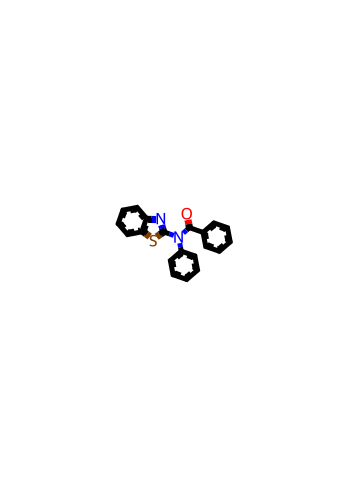 O=C(c1ccccc1)N(c1ccccc1)c1nc2ccccc2s1